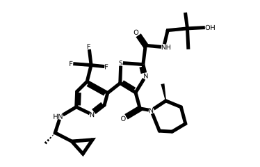 C[C@H](Nc1cc(C(F)(F)F)c(-c2sc(C(=O)NCC(C)(C)O)nc2C(=O)N2CCCC[C@@H]2C)cn1)C1CC1